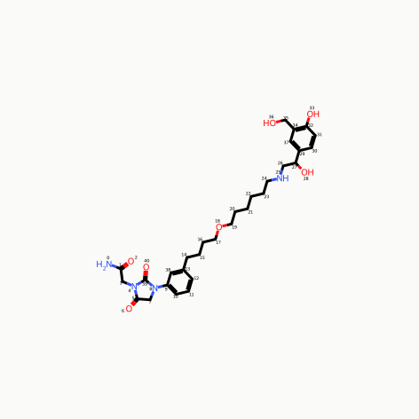 NC(=O)CN1C(=O)CN(c2cccc(CCCCOCCCCCCNCC(O)c3ccc(O)c(CO)c3)c2)C1=O